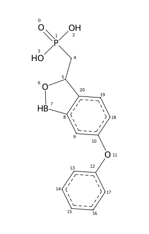 O=P(O)(O)CC1OBc2cc(Oc3ccccc3)ccc21